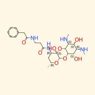 CN[C@@H]1[C@H](O)[C@H](NC)C2O[C@]3(O)C(OC2[C@H]1O)O[C@H](C)C[C@H]3NC(=O)CCNC(=O)Cc1ccccc1